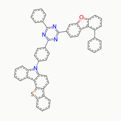 c1ccc(-c2nc(-c3ccc(-n4c5ccccc5c5c6sc7ccccc7c6ccc54)cc3)nc(-c3ccc4c(c3)oc3cccc(-c5ccccc5)c34)n2)cc1